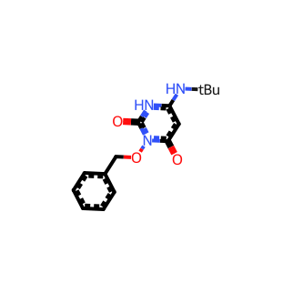 CC(C)(C)Nc1cc(=O)n(OCc2ccccc2)c(=O)[nH]1